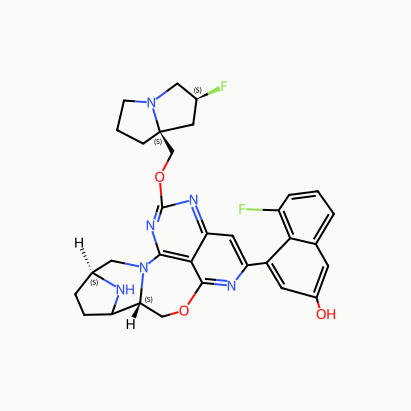 Oc1cc(-c2cc3nc(OC[C@@]45CCCN4C[C@@H](F)C5)nc4c3c(n2)OC[C@@H]2C3CC[C@@H](CN42)N3)c2c(F)cccc2c1